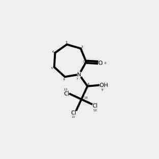 O=C1CCCCCN1C(O)C(Cl)(Cl)Cl